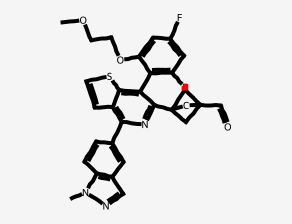 COCCOc1cc(F)cc(F)c1-c1c(C23CC(C=O)(C2)C3)nc(-c2ccc3c(cnn3C)c2)c2ccsc12